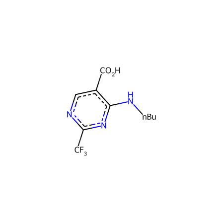 CCCCNc1nc(C(F)(F)F)ncc1C(=O)O